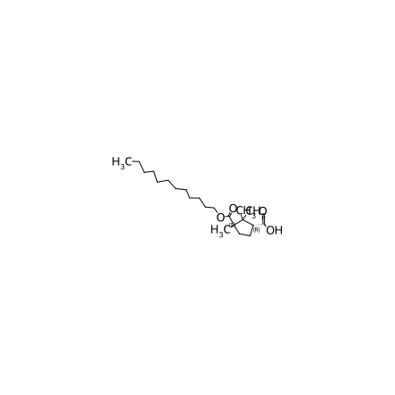 CCCCCCCCCCCCOC(=O)[C@@]1(C)CC[C@@H](C(=O)O)C1(C)C